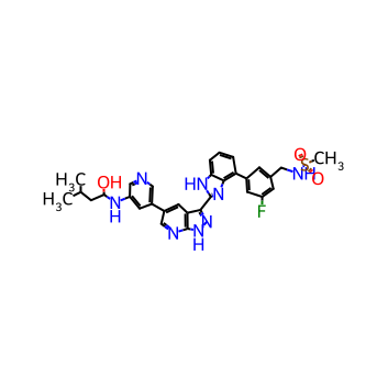 CC(C)CC(O)Nc1cncc(-c2cnc3[nH]nc(-c4nc5c(-c6cc(F)cc(CNS(C)(=O)=O)c6)cccc5[nH]4)c3c2)c1